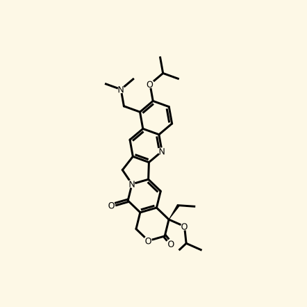 CC[C@@]1(OC(C)C)C(=O)OCc2c1cc1n(c2=O)Cc2cc3c(CN(C)C)c(OC(C)C)ccc3nc2-1